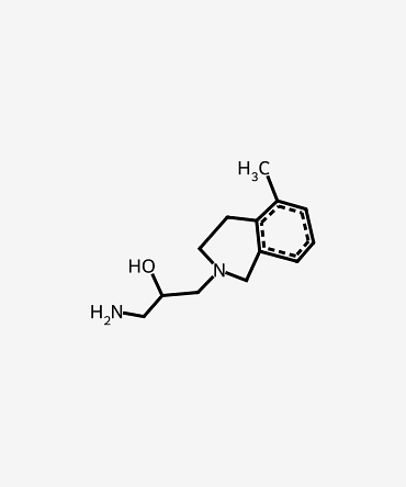 Cc1cccc2c1CCN(CC(O)CN)C2